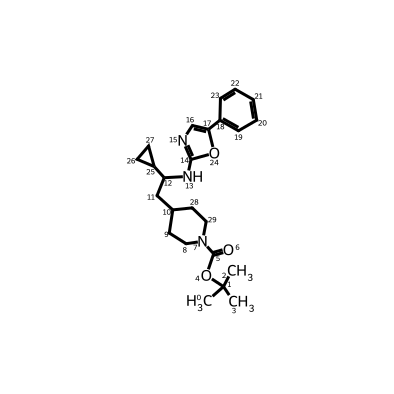 CC(C)(C)OC(=O)N1CCC(CC(Nc2ncc(-c3ccccc3)o2)C2CC2)CC1